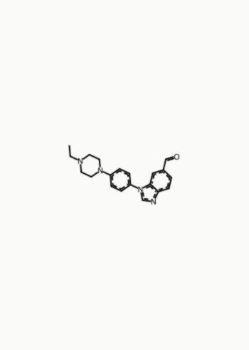 CCN1CCN(c2ccc(-n3cnc4ccc(C=O)cc43)cc2)CC1